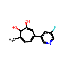 CC1=CC=C(c2cncc(F)c2)C=C(O)C1O